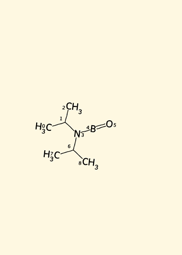 CC(C)N(B=O)C(C)C